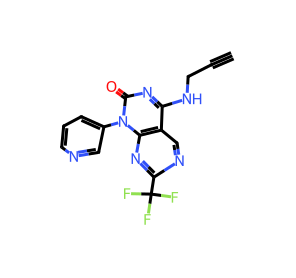 C#CCNc1nc(=O)n(-c2cccnc2)c2nc(C(F)(F)F)ncc12